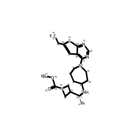 CC(C)[C@@H](NC1CCCN(c2ncnc3sc(CC(F)(F)F)cc23)CC1)C1CN(C(=O)OC(C)(C)C)C1